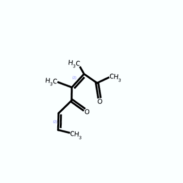 C/C=C\C(=O)/C(C)=C(/C)C(C)=O